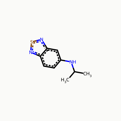 CC(C)Nc1ccc2nsnc2c1